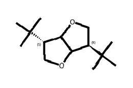 CC(C)(C)[C@@H]1COC2C1OC[C@@H]2C(C)(C)C